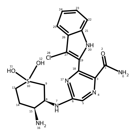 NC(=O)c1ncc(N[C@@H]2CS(O)(O)CC[C@@H]2N)nc1-c1[nH]c2ccccc2c1Cl